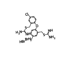 Br.Br.N=C(N)SCc1cc(F)ccc1Oc1ccc(Cl)cc1CSC(=N)N